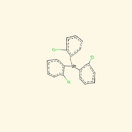 Clc1cccc[c]1[Sb]([c]1ccccc1Cl)[c]1ccccc1Cl